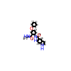 CC(C)NC(=O)c1cc(Oc2ccccc2)ccc1NC(=O)c1ccc2[nH]ccc2c1